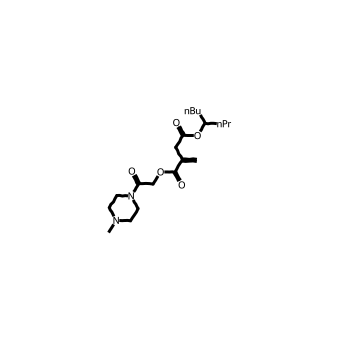 C=C(CC(=O)OC(CCC)CCCC)C(=O)OCC(=O)N1CCN(C)CC1